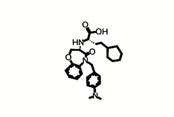 CN(C)c1ccc(CN2C(=O)[C@@H](N[C@@H](CCC3CCCCC3)C(=O)O)COc3ccccc32)cc1